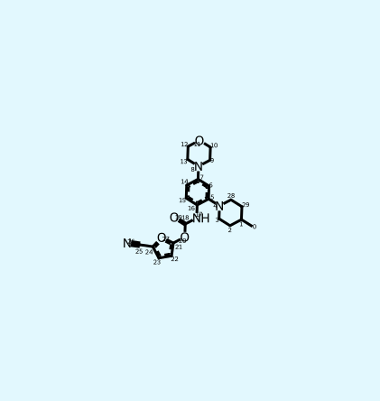 CC1CCN(c2cc(N3CCOCC3)ccc2NC(=O)Oc2ccc(C#N)o2)CC1